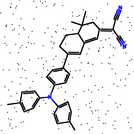 Cc1ccc(N(c2ccc(C)cc2)c2ccc(C3=CC4=CC(=C(C#N)C#N)CC(C)(C)C4CC3)cc2)cc1